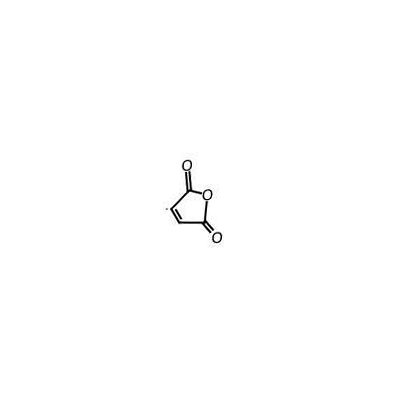 O=C1[C]=CC(=O)O1